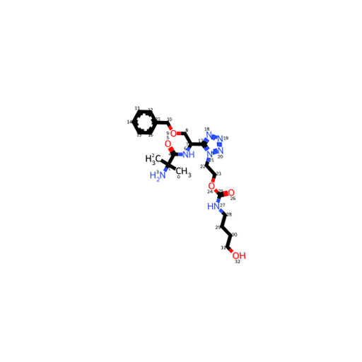 CC(C)(N)C(=O)NC(COCc1ccccc1)c1nnnn1CCOC(=O)NCCCCO